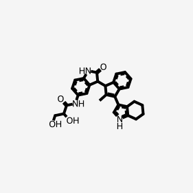 CC1=C(c2c[nH]c3c2CCCC3)c2ccccc2C1C1C(=O)Nc2ccc(NC(=O)C(O)CO)cc21